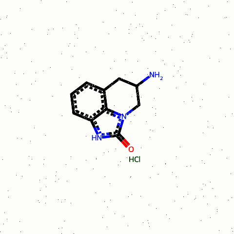 Cl.NC1Cc2cccc3[nH]c(=O)n(c23)C1